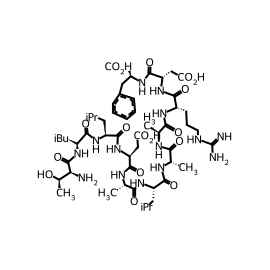 CC[C@H](C)[C@H](NC(=O)[C@@H](N)[C@@H](C)O)C(=O)N[C@@H](CC(C)C)C(=O)N[C@@H](CC(=O)O)C(=O)N[C@@H](C)C(=O)N[C@@H](CC(C)C)C(=O)N[C@@H](C)C(=O)N[C@@H](C)C(=O)N[C@@H](CCCNC(=N)N)C(=O)N[C@@H](CC(=O)O)C(=O)N[C@@H](Cc1ccccc1)C(=O)O